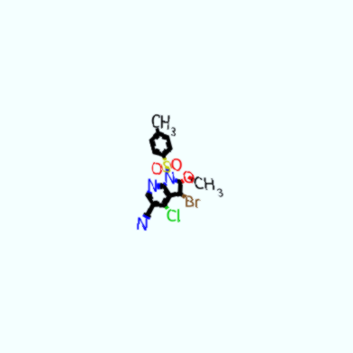 COC1C(Br)c2c(ncc(C#N)c2Cl)N1S(=O)(=O)c1ccc(C)cc1